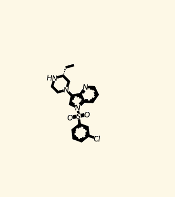 CC[C@@H]1CN(c2cn(S(=O)(=O)c3cccc(Cl)c3)c3cccnc23)CCN1